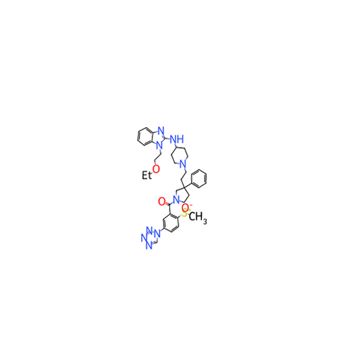 CCOCCn1c(NC2CCN(CCC3(c4ccccc4)CCN(C(=O)c4cc(-n5cnnn5)ccc4[S+](C)[O-])C3)CC2)nc2ccccc21